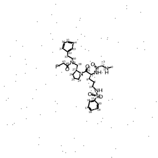 CN[C@@H](C)C(=O)N[C@@H](CCCNS(=O)(=O)c1ccccc1)C(=O)N1CCC[C@H]1CN(CCc1ccccc1)C(=O)CF